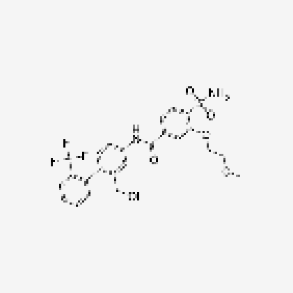 COCCOc1cc(C(=O)Nc2ccc(-c3ccccc3C(F)(F)F)c(CO)c2)ccc1S(N)(=O)=O